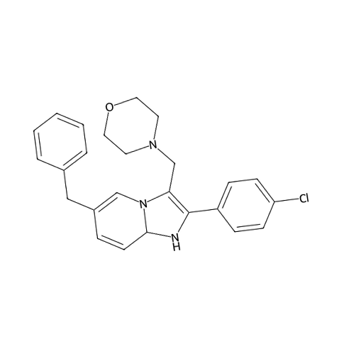 Clc1ccc(C2=C(CN3CCOCC3)N3C=C(Cc4ccccc4)C=CC3N2)cc1